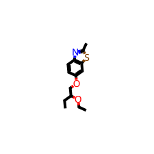 CCOC(CC)COc1ccc2nc(C)sc2c1